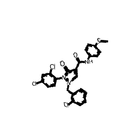 CSc1ccc(NC(=O)c2cn(Cc3ccccc3Cl)n(-c3ccc(Cl)cc3Cl)c2=O)cc1